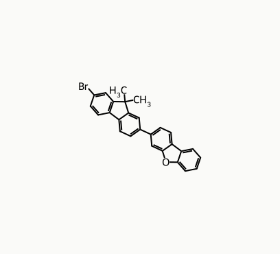 CC1(C)c2cc(Br)ccc2-c2ccc(-c3ccc4c(c3)oc3ccccc34)cc21